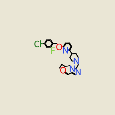 C=Cc1cnc(CN2CCC(c3cccc(OCc4ccc(Cl)cc4F)n3)CC2)n1C[C@@H]1CCO1